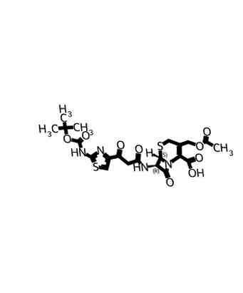 CC(=O)OCC1=C(C(=O)O)N2C(=O)[C@@H](NC(=O)CC(=O)c3csc(NC(=O)OC(C)(C)C)n3)[C@@H]2SC1